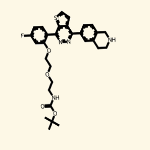 CC(C)(C)OC(=O)NCCOCCOc1cc(F)ccc1-c1nnc(-c2ccc3c(c2)CCNC3)c2ccsc12